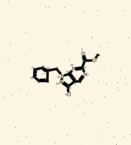 COC(=O)c1ncc2c(Cl)nn(Cc3ccccc3)c2n1